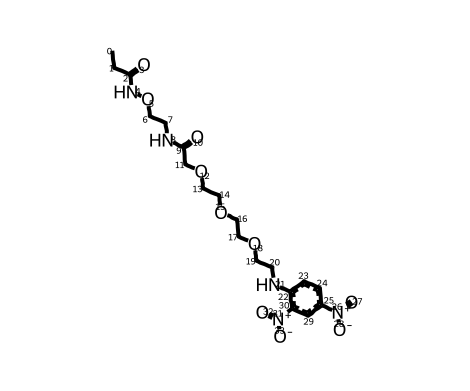 CCC(=O)NOCCNC(=O)COCCOCCOCCNc1ccc([N+](=O)[O-])cc1[N+](=O)[O-]